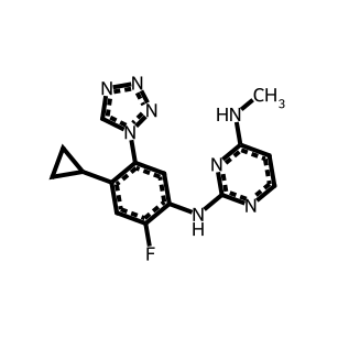 CNc1ccnc(Nc2cc(-n3cnnn3)c(C3CC3)cc2F)n1